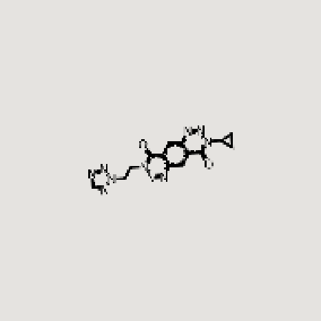 O=c1c2cc3nnn(C4CC4)c(=O)c3cc2nnn1CCn1ncnn1